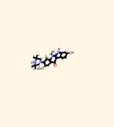 COc1cc2c(=O)c3c4ccc(C#N)cc4[nH]c3n(C(C)C)c2c(F)c1N1CC(C)(C)NC(C)(C)C1